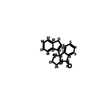 O=C1c2ccccc2C2(C3=CCc4ccccc43)SCCN12